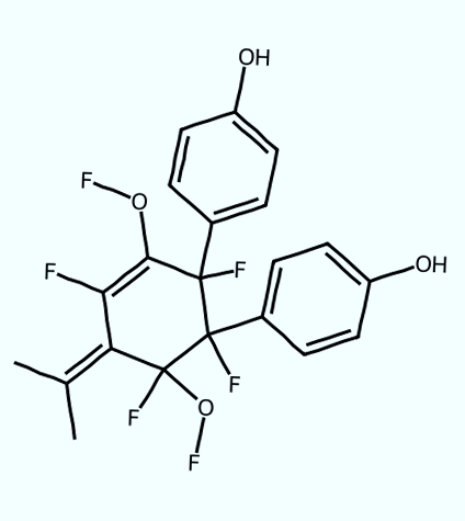 CC(C)=C1C(F)=C(OF)C(F)(c2ccc(O)cc2)C(F)(c2ccc(O)cc2)C1(F)OF